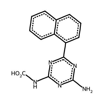 Nc1nc(NC(=O)O)nc(-c2cccc3ccccc23)n1